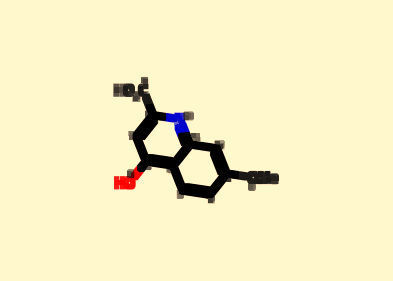 COc1ccc2c(O)cc(C(=O)O)nc2c1